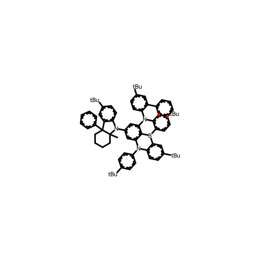 CC(C)(C)c1ccc(N2c3ccc(C(C)(C)C)cc3B3c4ccc(C(C)(C)C)cc4N(c4ccc(C(C)(C)C)cc4-c4ccccc4)c4cc(N5c6ccc(C(C)(C)C)cc6C6(c7ccccc7)CCCCC56C)cc2c43)cc1